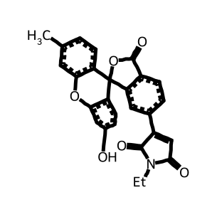 CCN1C(=O)C=C(c2ccc3c(c2)C2(OC3=O)c3ccc(C)cc3Oc3cc(O)ccc32)C1=O